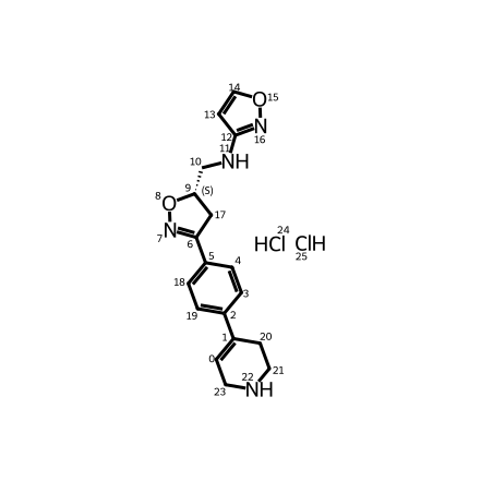 C1=C(c2ccc(C3=NO[C@H](CNc4ccon4)C3)cc2)CCNC1.Cl.Cl